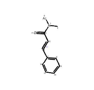 CC(=O)N(C)C(=O)/C=C/c1ccccc1